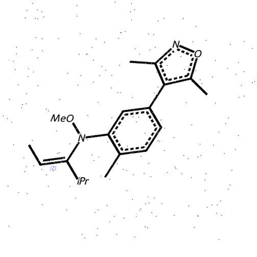 C/C=C(/C(C)C)N(OC)c1cc(-c2c(C)noc2C)ccc1C